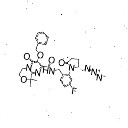 CC1(C)OCCn2c1nc(C(=O)NCc1ccc(F)cc1N1C(=O)CC[C@@H]1CN=[N+]=[N-])c(OCc1ccccc1)c2=O